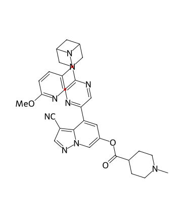 COc1ccc(CN2C3CC2CN(c2cnc(-c4cc(OC(=O)C5CCN(C)CC5)cn5ncc(C#N)c45)cn2)C3)cn1